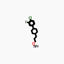 CCCOCCCC1CCC(c2ccc(Cl)c(F)c2)CC1